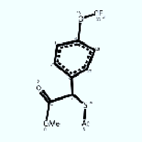 COC(=O)C(SC(C)=O)c1ccc(OC(F)(F)F)cc1